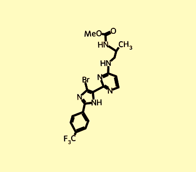 COC(=O)NC(C)CNc1ccnc(-c2[nH]c(-c3ccc(C(F)(F)F)cc3)nc2Br)n1